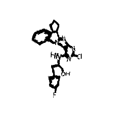 OCC(Cc1ccc(F)cc1)Nc1nc(Cl)nc2nc(C3CCCC3)n(Cc3ccccc3)c12